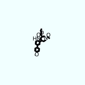 CCOC(=O)C1=CN(C(C)=O)CCc2c1[nH]c1ccc(-c3ccc(OC)cc3)cc21